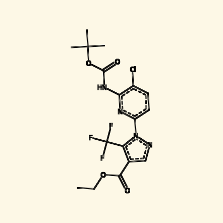 CCOC(=O)c1cnn(-c2ccc(Cl)c(NC(=O)OC(C)(C)C)n2)c1C(F)(F)F